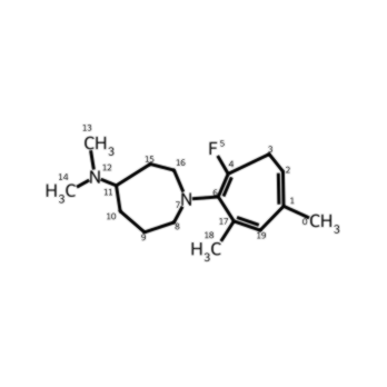 CC1=CCC(F)=C(N2CCCC(N(C)C)CC2)C(C)=C1